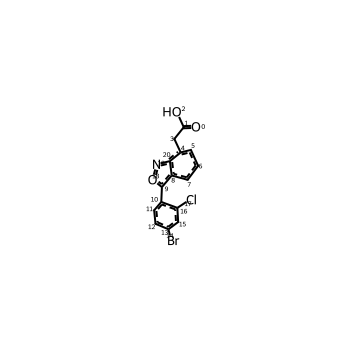 O=C(O)Cc1cccc2c(-c3ccc(Br)cc3Cl)onc12